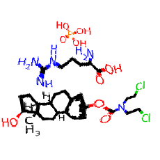 C[C@]12CC[C@@H]3c4ccc(OC(=O)N(CCCl)CCCl)cc4CC[C@H]3[C@@H]1CC[C@@H]2O.N=C(N)NCCCC(N)C(=O)O.O=P(O)(O)O